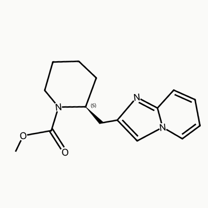 COC(=O)N1CCCC[C@H]1Cc1cn2ccccc2n1